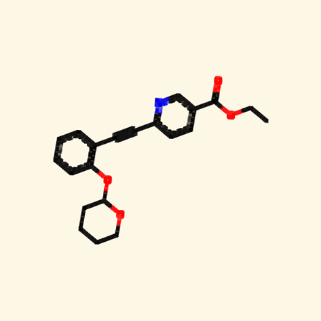 CCOC(=O)c1ccc(C#Cc2ccccc2OC2CCCCO2)nc1